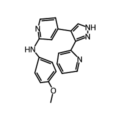 COc1ccc(Nc2cc(-c3c[nH]nc3-c3ccccn3)ccn2)cc1